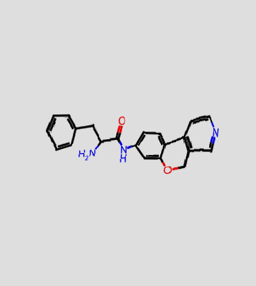 NC(Cc1ccccc1)C(=O)Nc1ccc2c(c1)OCc1cnccc1-2